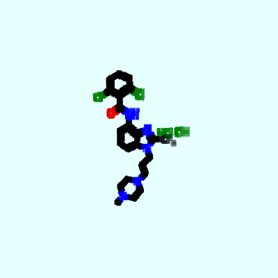 CN1CCN(CCCn2c(C(F)(F)F)nc3c(NC(=O)c4c(Cl)cccc4Cl)cccc32)CC1.Cl.Cl